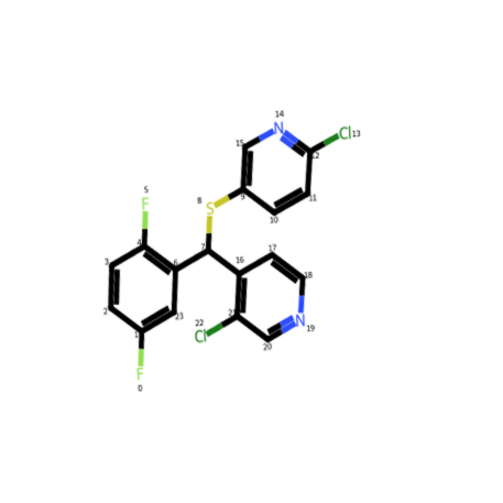 Fc1ccc(F)c(C(Sc2ccc(Cl)nc2)c2ccncc2Cl)c1